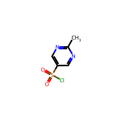 Cc1ncc(S(=O)(=O)Cl)cn1